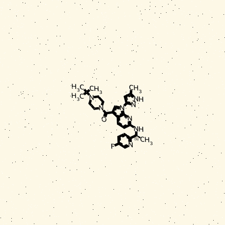 Cc1cc(-n2cc(C(=O)N3CCN(C(C)(C)C)CC3)c3ccc(N[C@@H](C)c4ccc(F)cn4)nc32)n[nH]1